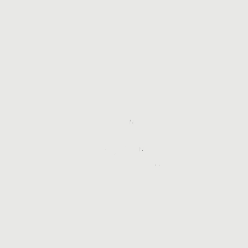 O=C1C(Cc2ccccc2)CC(=O)N2CCN(CC(c3ccccc3)c3ccccc3)CC12